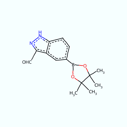 CC1(C)OB(c2ccc3[nH]nc(C=O)c3c2)OC1(C)C